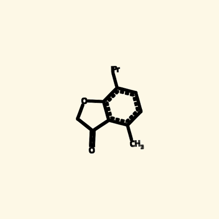 Cc1ccc(C(C)C)c2c1C(=O)CO2